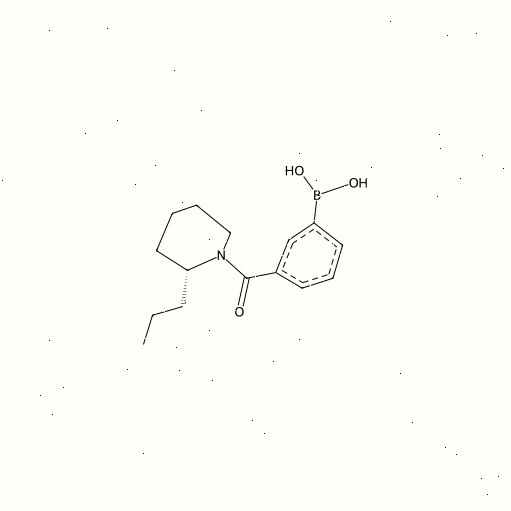 CCC[C@@H]1CCCCN1C(=O)c1cccc(B(O)O)c1